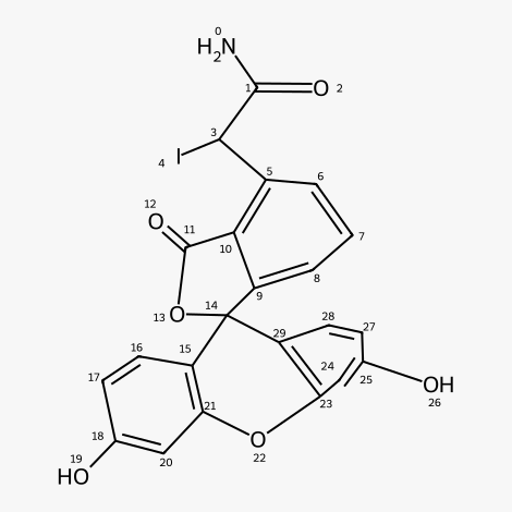 NC(=O)C(I)c1cccc2c1C(=O)OC21c2ccc(O)cc2Oc2cc(O)ccc21